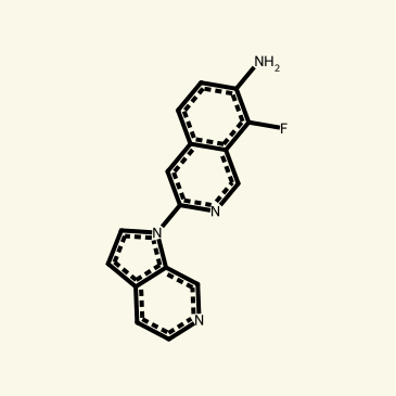 Nc1ccc2cc(-n3ccc4ccncc43)ncc2c1F